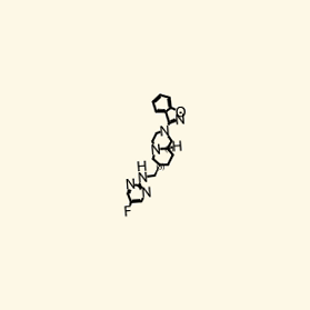 Fc1cnc(NC[C@@H]2CC[C@H]3CN(c4noc5ccccc45)CCN3C2)nc1